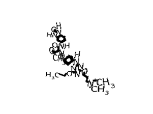 CCCCOc1nc(Nc2ccc(/N=N/C(C(C)=O)C(=O)Nc3ccc4[nH]c(=O)[nH]c4c3)cc2)nc(OCCCN(CC)CC)n1